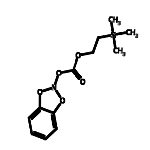 C[Si](C)(C)CCOC(=O)ON1Oc2ccccc2O1